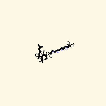 COC(=O)/C=C/C=C/C=C/C=C/C(=O)O[C@@H]1CC[C@]2(CO2)[C@@H](C2(C)OC2CC=C(C)C)[C@@H]1OC